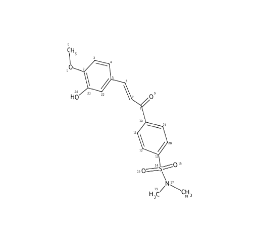 COc1ccc(C=CC(=O)c2ccc(S(=O)(=O)N(C)C)cc2)cc1O